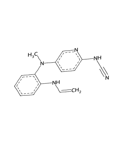 C=CNc1ccccc1N(C)c1ccc(NC#N)nc1